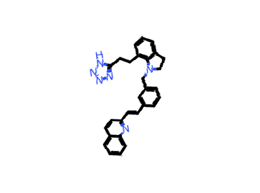 C(=Cc1ccc2ccccc2n1)c1cccc(CN2CCc3cccc(CCc4nnn[nH]4)c32)c1